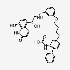 O=C(O)Nc1cc(CCCCOc2cccc(CNC[C@H](O)c3ccc(O)c4[nH]c(=O)ccc34)c2)ccc1-c1ccccc1